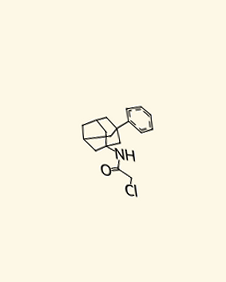 O=C(CCl)NC12CC3CC(C1)CC(c1ccccc1)(C3)C2